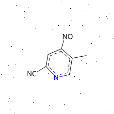 Cc1cnc(C#N)cc1N=O